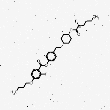 CCCCOc1ccc(C(=O)Oc2ccc(CC[C@H]3CC[C@H](OC(=O)[C@@H](F)CCCC)CC3)cc2)c(F)c1